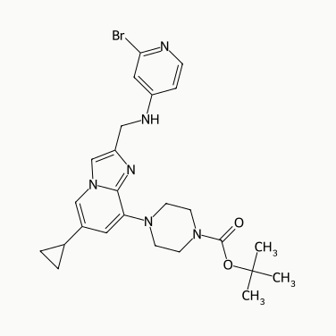 CC(C)(C)OC(=O)N1CCN(c2cc(C3CC3)cn3cc(CNc4ccnc(Br)c4)nc23)CC1